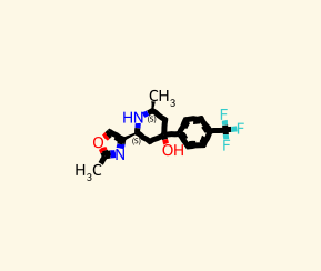 Cc1nc([C@@H]2CC(O)(c3ccc(C(F)(F)F)cc3)C[C@H](C)N2)co1